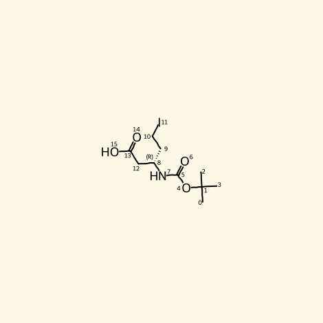 CC(C)(C)OC(=O)N[C@@H](CCI)CC(=O)O